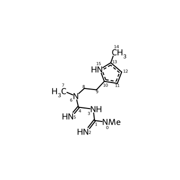 CNC(=N)NC(=N)N(C)CCc1ccc(C)[nH]1